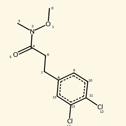 CON(C)C(=O)CCc1ccc(Cl)c(Cl)c1